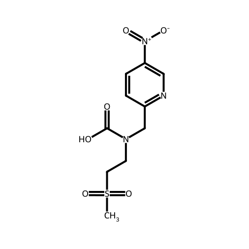 CS(=O)(=O)CCN(Cc1ccc([N+](=O)[O-])cn1)C(=O)O